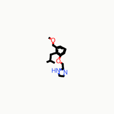 COCc1cccc(OCC2=NCCN2)c1CC(C)C